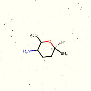 B[C@@]1(C(C)C)CCC(N)C(OC(C)=O)O1